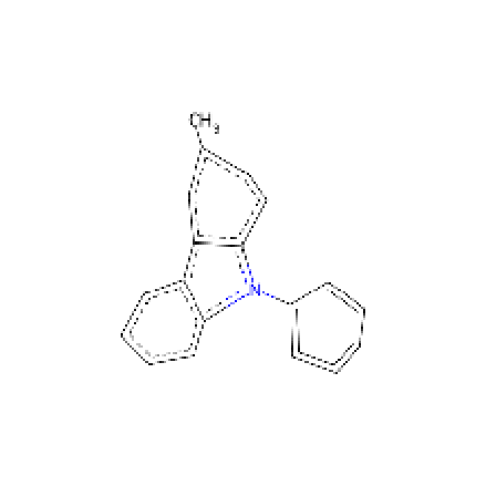 Cc1ccc2c(c1)c1ccccc1n2C1=C=C=CC=C1